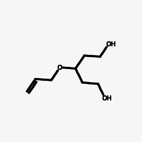 C=CCOC(CCO)CCO